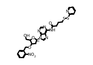 O=C(CCCSSc1ccccn1)Nc1ncnc2c1ncn2[C@H]1CC(OCc2ccccc2[N+](=O)[O-])C(CO)O1